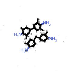 Cc1cc(-c2cc(C)c(N)c(C)c2)cc(C)c1N.Cc1cc(Cc2ccc(N)c(C)c2)ccc1N